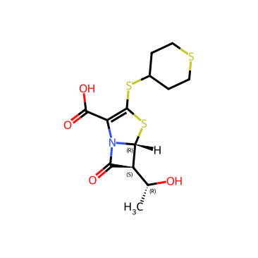 C[C@@H](O)[C@H]1C(=O)N2C(C(=O)O)=C(SC3CCSCC3)S[C@H]12